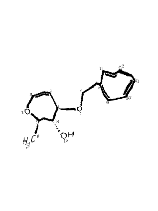 C[C@H]1OC=C[C@@H](OCc2ccccc2)[C@@H]1O